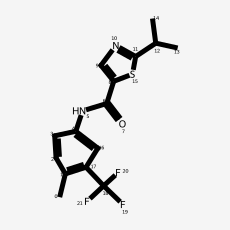 Cc1ccc(NC(=O)c2cnc(C(C)C)s2)cc1C(F)(F)F